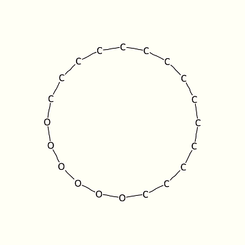 C1CCCCCCCOOOOOOCCCCCC1